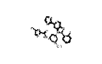 O=C(N[C@H]1C[C@H](O)C[C@@H](n2c(-c3ccccc3F)nc3cnc(-c4ncco4)cc32)C1)c1ncc(Cl)s1